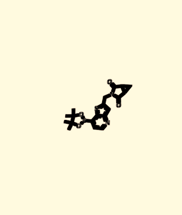 CC1(C)OB(c2ccnc3cc(CN4C(=O)C5CC5C4=O)sc23)OC1(C)C